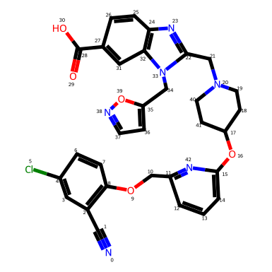 N#Cc1cc(Cl)ccc1OCc1cccc(OC2CCN(Cc3nc4ccc(C(=O)O)cc4n3Cc3ccno3)CC2)n1